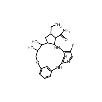 CCC1CC2C(O)C(O)COc3cccc(c3)Nc3ncc(F)c(n3)NC2C1C(N)=O